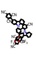 N#Cc1cc(C#N)c(-c2ccc3c(c2)c2ccccc2n3-c2ccc(-c3cc(C(F)(F)F)cc(C(F)(F)F)c3)cc2-c2ccc(C#N)cc2-n2c3ccccc3c3cc(-c4c(C#N)cc(C#N)cc4C#N)ccc32)c(C#N)c1